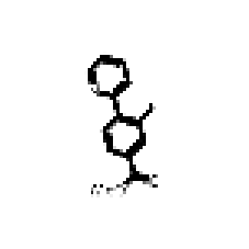 COC(=O)c1ccc(-c2cc[c]cn2)c(F)c1